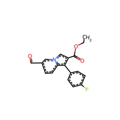 CCOC(=O)c1cn2cc(C=O)ccc2c1-c1ccc(F)cc1